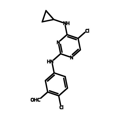 O=Cc1cc(Nc2ncc(Cl)c(NC3CC3)n2)ccc1Cl